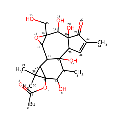 CCC(C)C(=O)OC12C(O)C(C)C3(O)C(C4OC4(CO)C(O)C4(O)C(=O)C(C)=CC43)C1C2(C)C